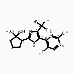 CC1(O)CCCC1c1nc(C(F)(F)F)c(-c2nc(Cl)ncc2F)s1